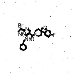 O=C(c1cnc2c(Br)cnn2c1NCc1ccccc1)N1CCC2(CC1)COc1cc(F)ccc12